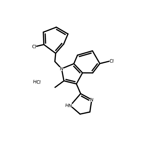 Cc1c(C2=NCCN2)c2cc(Cl)ccc2n1Cc1ccccc1Cl.Cl